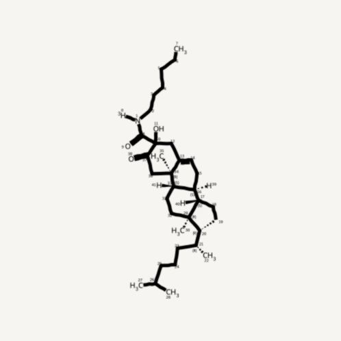 [3H]N(CCCCCC)C(=O)C1(O)CC2=CC[C@H]3[C@@H]4CC[C@H]([C@H](C)CCCC(C)C)[C@@]4(C)CC[C@@H]3[C@@]2(C)CC1=O